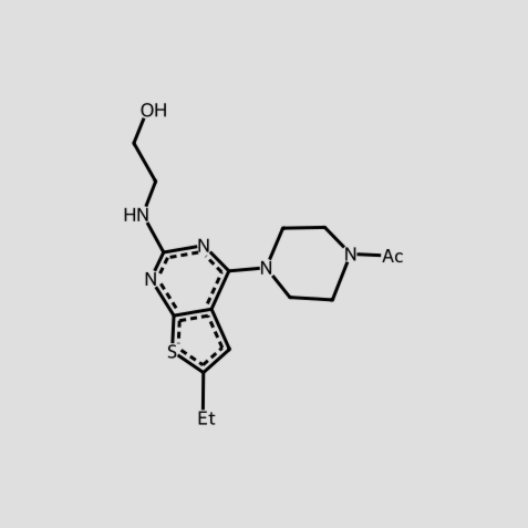 CCc1cc2c(N3CCN(C(C)=O)CC3)nc(NCCO)nc2s1